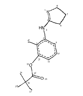 Cc1c(NC2=NCCC2)cccc1OC(=O)C(C)(C)C